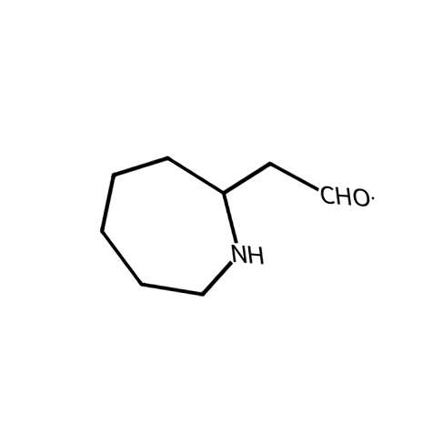 O=[C]CC1CCCCCN1